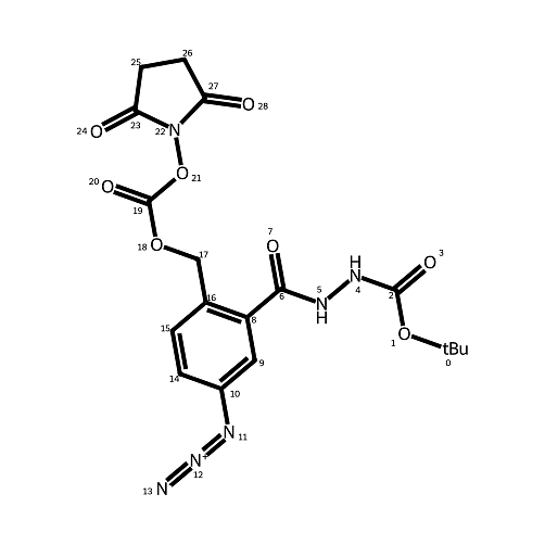 CC(C)(C)OC(=O)NNC(=O)c1cc(N=[N+]=[N-])ccc1COC(=O)ON1C(=O)CCC1=O